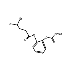 CCCCCC(=O)Oc1ccccc1OC(=O)CCC(CC)CC